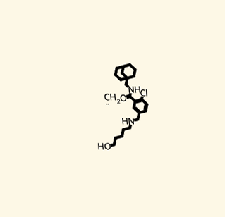 O=C(NCC12CCCC(CCC1)C2)c1cc(CNCCCCCO)ccc1Cl.[CH2]